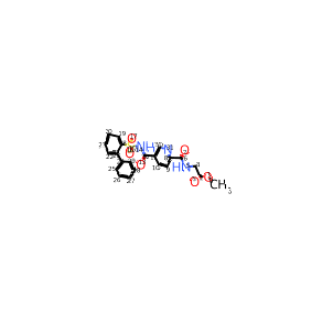 COC(=O)CNC(=O)c1ccc(C(=O)NS(=O)(=O)c2ccccc2-c2ccccc2)cn1